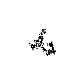 COCCNC(=O)C(COC)NC(=O)[C@H](C)NC(=O)Cc1cc(F)cc(F)c1.COCCN[C@@H](Cc1ccc(OCCN2CCOCC2)cc1)C(=O)NC(=O)[C@H](C)NC(=O)Cc1cc(F)cc(F)c1